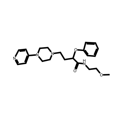 COCCNC(=O)C(CCN1CCN(c2ccncc2)CC1)Oc1ccccc1